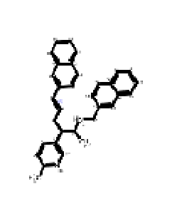 Cc1ccc(C(C/C=C/c2ccc3ccccc3c2)C(C)NCc2ccc3ccccc3c2)cn1